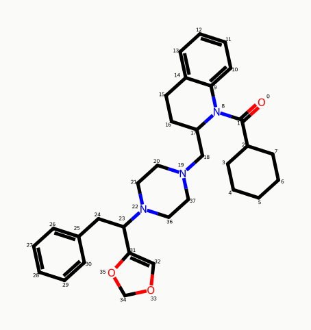 O=C(C1CCCCC1)N1c2ccccc2CCC1CN1CCN(C(Cc2ccccc2)C2=COCO2)CC1